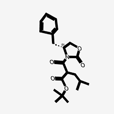 CC(C)CC(C(=O)OC(C)(C)C)C(=O)N1C(=O)OC[C@H]1Cc1ccccc1